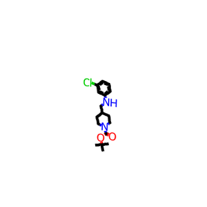 CC(C)(C)OC(=O)N1CCC(CNc2cccc(Cl)c2)CC1